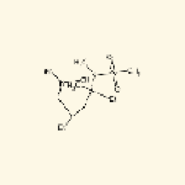 CCC(CN(C)C(C)C)CC(C)(CC)N(C)S(C)(=O)=O